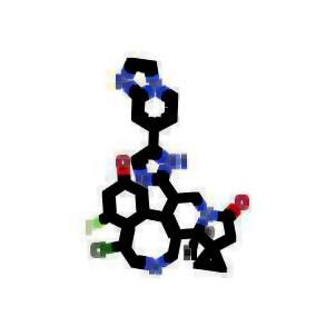 O=C1C=C(F)C2=C(Cl)C=NCC3=C(C2=C1)C(c1ncc(-c2ccn4ccnc4c2)[nH]1)CN1C(=O)CC2(CC2)[C@H]31